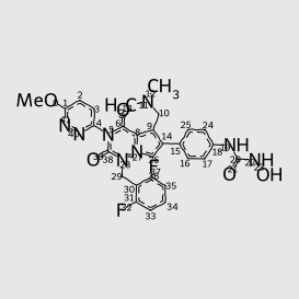 COc1ccc(-n2c(=O)c3c(CN(C)C)c(-c4ccc(NC(=O)NO)cc4)cn3n(Cc3c(F)cccc3F)c2=O)nn1